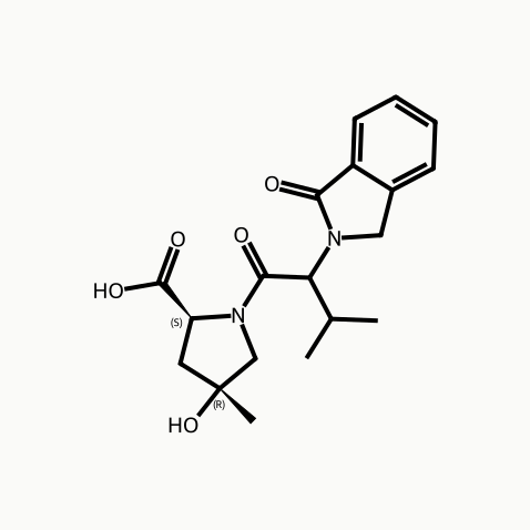 CC(C)C(C(=O)N1C[C@](C)(O)C[C@H]1C(=O)O)N1Cc2ccccc2C1=O